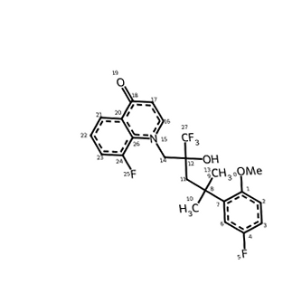 COc1ccc(F)cc1C(C)(C)CC(O)(Cn1ccc(=O)c2cccc(F)c21)C(F)(F)F